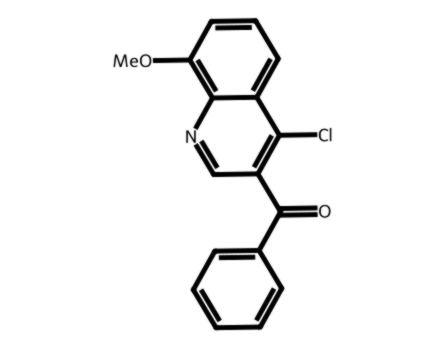 COc1cccc2c(Cl)c(C(=O)c3ccccc3)cnc12